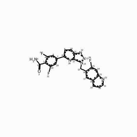 NC(=O)c1c(F)cc(-c2ccc3nnn(Cc4cc5cccnc5cc4F)c3n2)cc1F